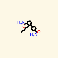 CCCCCc1c(C(N)=O)cccc1-c1ccc(C(N)=O)cc1